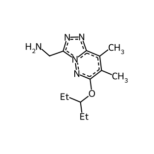 CCC(CC)Oc1nn2c(CN)nnc2c(C)c1C